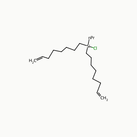 C=CCCCCCC[Si](Cl)(CCC)CCCCCCC=C